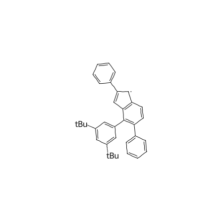 CC(C)(C)c1cc(-c2c(-c3ccccc3)ccc3c2C=C(c2ccccc2)[CH]3)cc(C(C)(C)C)c1